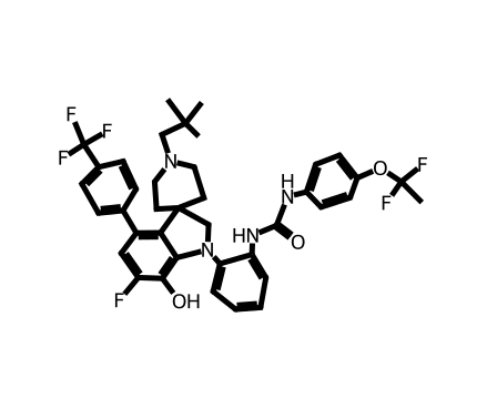 CC(C)(C)CN1CCC2(CC1)CN(c1ccccc1NC(=O)Nc1ccc(OC(C)(F)F)cc1)c1c(O)c(F)cc(-c3ccc(C(F)(F)F)cc3)c12